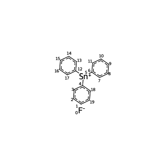 [F-].c1cc[c]([Sn+]([c]2ccccc2)[c]2ccccc2)cc1